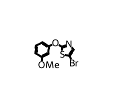 COc1cccc(Oc2ncc(Br)s2)c1